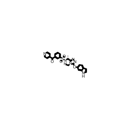 CCn1c(Oc2ccc3cc[nH]c3c2)nnc1[C@@H](C)NS(=O)(=O)c1cccc(C(=O)c2ccncc2)c1